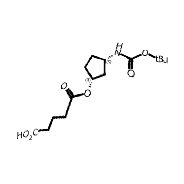 CC(C)(C)OC(=O)N[C@H]1CC[C@@H](OC(=O)CCCC(=O)O)C1